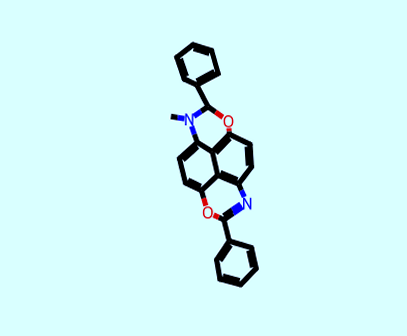 CN1c2ccc3c4c(ccc(c24)OC1c1ccccc1)N=C(c1ccccc1)O3